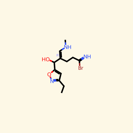 CCc1cc(C(O)/C(=C/NC)CCC(=N)Br)on1